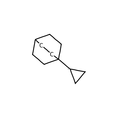 C1C[C]1C12CCC(CC1)CC2